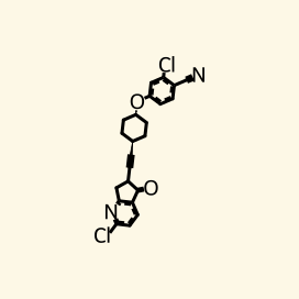 N#Cc1ccc(O[C@H]2CC[C@H](C#CC3Cc4nc(Cl)ccc4C3=O)CC2)cc1Cl